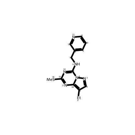 CCc1cnn2c(NCc3cccnc3)nc(SC)nc12